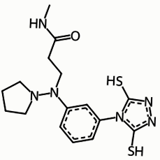 CNC(=O)CCN(c1cccc(-n2c(S)nnc2S)c1)N1CCCC1